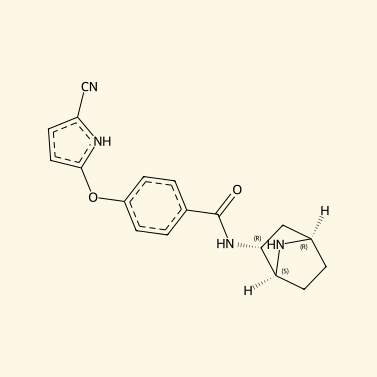 N#Cc1ccc(Oc2ccc(C(=O)N[C@@H]3C[C@H]4CC[C@@H]3N4)cc2)[nH]1